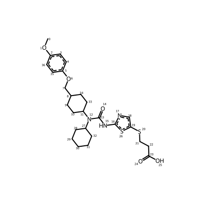 COc1ccc(OCC2CCC(N(C(=O)Nc3ncc(SCCC(=O)O)s3)C3CCCCC3)CC2)cc1